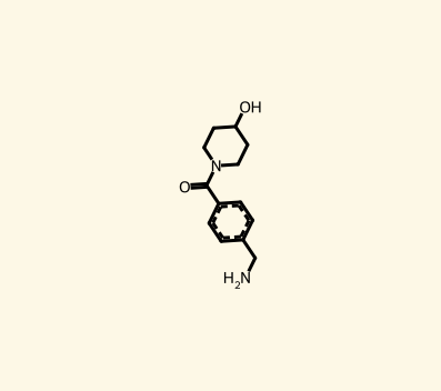 NCc1ccc(C(=O)N2CCC(O)CC2)cc1